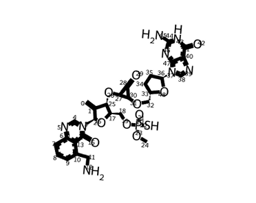 C=C1[C@H](n2cnc3cccc(CN)c3c2=O)O[C@H](COP(=O)(S)OC)[C@H]1OC1C(=O)C1OC[C@@H]1CC[C@H](n2cnc3c(=O)[nH]c(N)nc32)O1